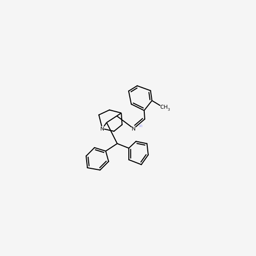 Cc1ccccc1/C=N\C1C2CCN(CC2)C1C(c1ccccc1)c1ccccc1